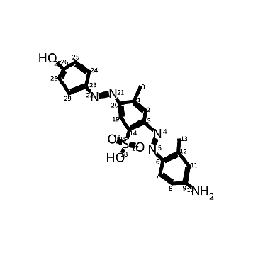 Cc1cc(N=Nc2ccc(N)cc2C)c(S(=O)(=O)O)cc1N=Nc1ccc(O)cc1